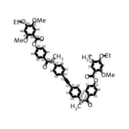 CCOc1cc(OC)c(C(=O)Oc2ccc(C(=O)N(C)c3ccc(C#Cc4ccc(N(C)C(=O)c5ccc(OC(=O)c6cc(OC)c(OCC)cc6OC)cc5)cc4)cc3)cc2)cc1C